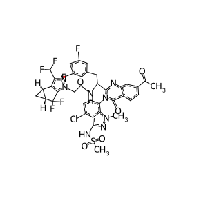 CC(=O)c1ccc2c(=O)n(-c3ccc(Cl)c4c(NS(C)(=O)=O)nn(C)c34)c(C(Cc3cc(F)cc(F)c3)NC(=O)Cn3nc(C(F)F)c4c3C(F)(F)[C@@H]3C[C@H]43)nc2c1